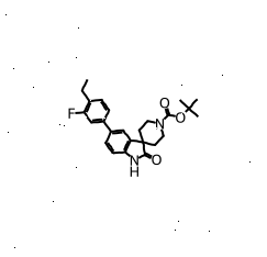 CCc1ccc(-c2ccc3c(c2)C2(CCN(C(=O)OC(C)(C)C)CC2)C(=O)N3)cc1F